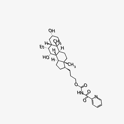 CC[C@H]1[C@@H](O)[C@@H]2[C@H](CC[C@]3(C)[C@@H](CCCOC(=O)NS(=O)(=O)c4ccccn4)CC[C@@H]23)[C@@]2(C)CC[C@@H](O)C[C@@H]12